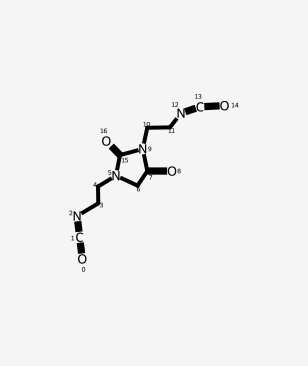 O=C=NCCN1CC(=O)N(CCN=C=O)C1=O